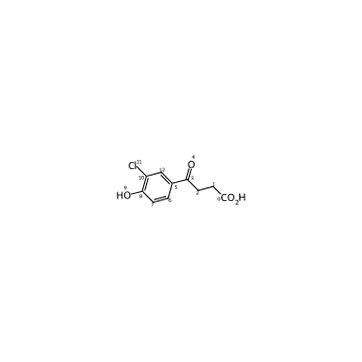 O=C(O)CCC(=O)c1ccc(O)c(Cl)c1